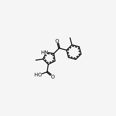 Cc1ccccc1C(=O)c1cc(C(=O)O)c(C)[nH]1